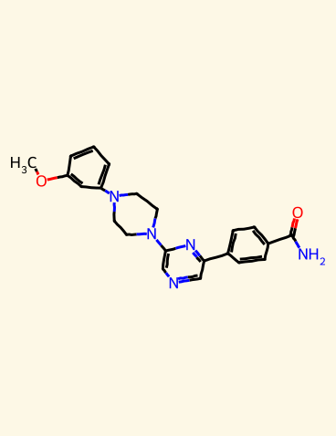 COc1cccc(N2CCN(c3cncc(-c4ccc(C(N)=O)cc4)n3)CC2)c1